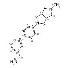 CN1CC2CN(c3ccc(-c4cccc(CN)c4)nn3)CC2C1